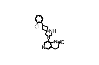 O=C1CCc2cncc(N3CNC4(CC(c5ccccc5Cl)C4)C3)c2N1